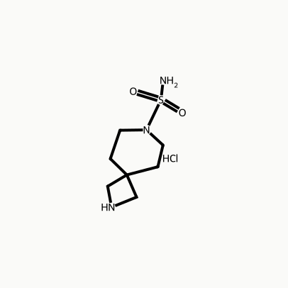 Cl.NS(=O)(=O)N1CCC2(CC1)CNC2